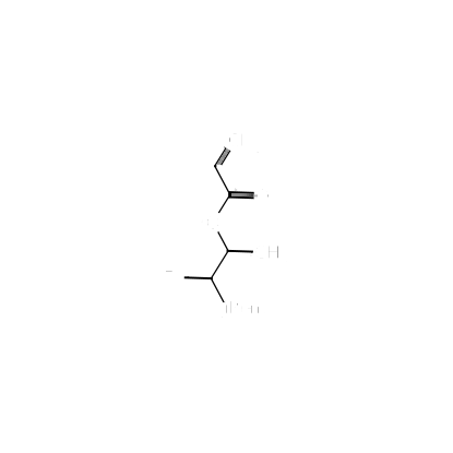 C=CC(=O)OC(C)C(CC)C(C)CCC